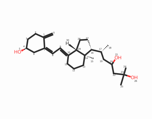 C=C1CC[C@H](O)C/C1=C/C=C1\CCC[C@]2(C)[C@@H]([C@H](C)CC(O)CC(C)(C)O)CC[C@@H]12